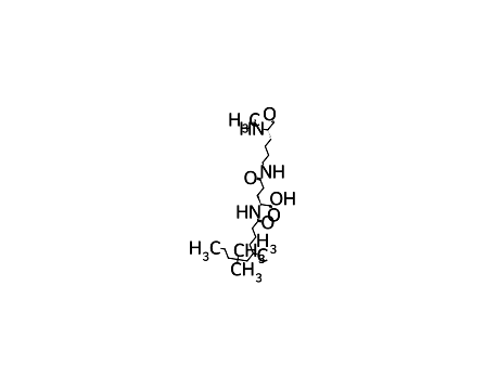 CCCC(C)(C)CC(C)CCCC(=O)N[C@@H](CCC(=O)NCCCC[C@@H](C=O)NC)C(=O)O